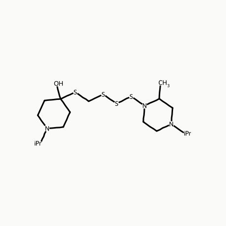 CC(C)N1CCC(O)(SCSSSN2CCN(C(C)C)CC2C)CC1